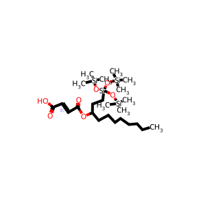 CCCCCCCCC(CC[Si](O[Si](C)(C)C)(O[Si](C)(C)C)O[Si](C)(C)C)OC(=O)/C=C/C(=O)O